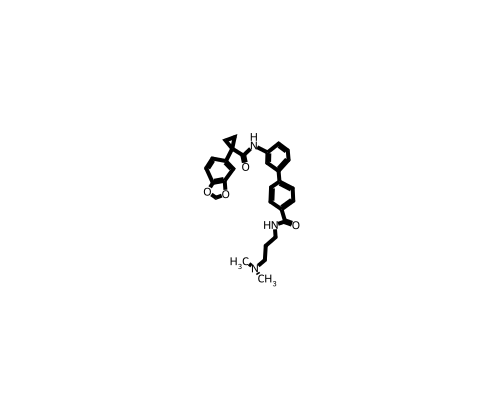 CN(C)CCCNC(=O)c1ccc(-c2cccc(NC(=O)C3(c4ccc5c(c4)OCO5)CC3)c2)cc1